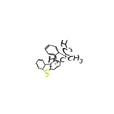 CC(C)(C)c1ccccc1-c1cccc2c1C1C=CC=CC1S2